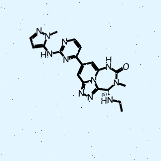 CCN[C@@H]1c2nnc3cc(-c4ccnc(Nc5ccnn5C)n4)cc(n23)NC(=O)N1C